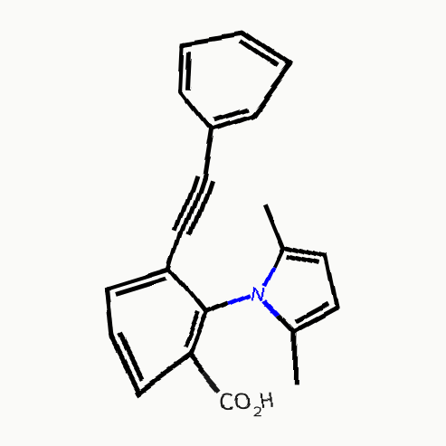 Cc1ccc(C)n1-c1c(C#Cc2ccccc2)cccc1C(=O)O